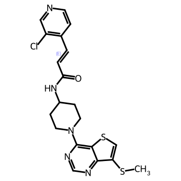 CSc1csc2c(N3CCC(NC(=O)/C=C/c4ccncc4Cl)CC3)ncnc12